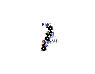 CCN(CC)Cc1cccc(-c2cnc(N)c3c(-c4ccc(NC(=O)c5cc6ccccc6n5C)c(OC)c4)csc23)c1